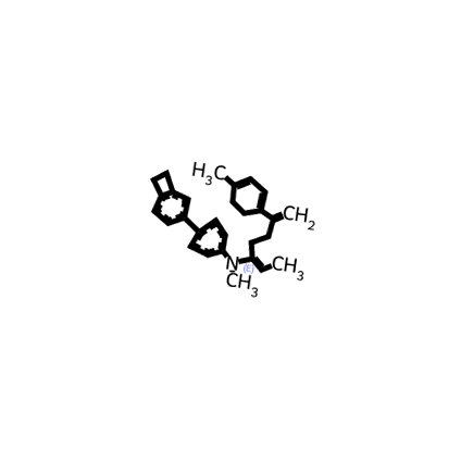 C=C(CC/C(=C\C)N(C)c1ccc(-c2ccc3c(c2)CC3)cc1)C1=CC=C(C)CC1